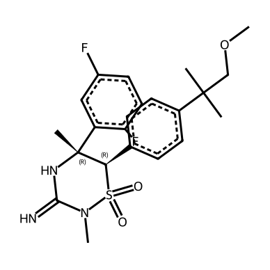 COCC(C)(C)c1ccc([C@@H]2[C@@](C)(c3cc(F)ccc3F)NC(=N)N(C)S2(=O)=O)cc1